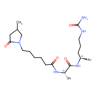 CC(=O)[C@H](CCCNC(N)=O)NC(=O)[C@@H](NC(=O)CCCCCN1CC(C)CC1=O)C(C)C